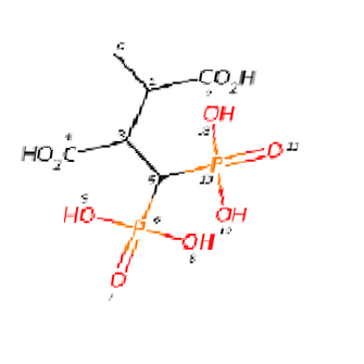 CC(C(=O)O)C(C(=O)O)C(P(=O)(O)O)P(=O)(O)O